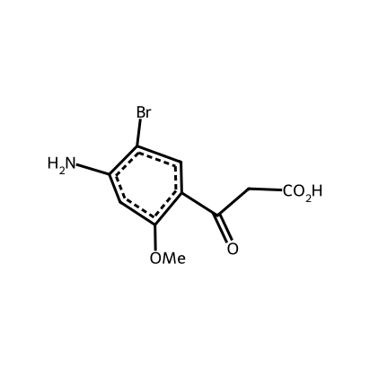 COc1cc(N)c(Br)cc1C(=O)CC(=O)O